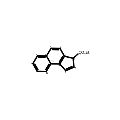 CCOC(=O)C1C=Cc2c1ccc1ccccc21